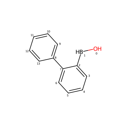 OBc1ccccc1-c1ccccc1